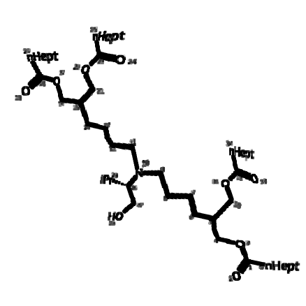 CCCCCCCC(=O)OCC(CCCCN(CCCCC(COC(=O)CCCCCCC)COC(=O)CCCCCCC)[C@H](CO)C(C)C)COC(=O)CCCCCCC